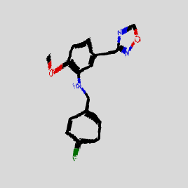 COc1ccc(-c2ncon2)cc1NCc1ccc(F)cc1